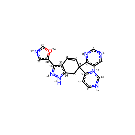 C1=CC(c2ccncn2)(c2ccncn2)Cc2[nH]nc(-c3cnco3)c21